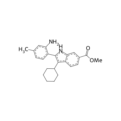 COC(=O)c1ccc2c(C3CCCCC3)c(-c3ccc(C)cc3N)[nH]c2c1